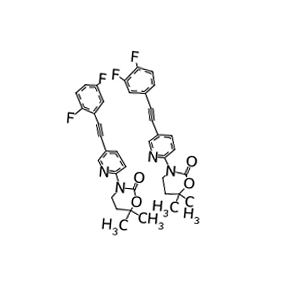 CC1(C)CCN(c2ccc(C#Cc3cc(F)ccc3F)cn2)C(=O)O1.CC1(C)CCN(c2ccc(C#Cc3ccc(F)c(F)c3)cn2)C(=O)O1